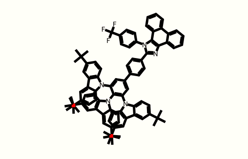 CC(C)(C)c1ccc2c(c1)c1cc(C(C)(C)C)ccc1n2-c1cc(-c2ccc(-c3nc4c5ccccc5c5ccccc5c4n3-c3ccc(C(F)(F)F)cc3)cc2)cc(-n2c3ccc(C(C)(C)C)cc3c3cc(C(C)(C)C)ccc32)c1-n1c2ccc(C(C)(C)C)cc2c2cc(C(C)(C)C)ccc21